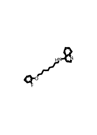 Fc1ccccc1OCCCCCCCCNc1ccnc2ccccc12